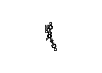 O=C1CCN(C2CN(c3cc4c(cc3F)C(=O)N(C3CCC(=O)NC3=O)C4)C2)CC1